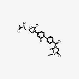 CCN1C(=O)CN(C(=O)c2ccc(-c3ccc(N4C[C@H](CNC(C)=O)OC4=O)cc3F)cc2)C1=S